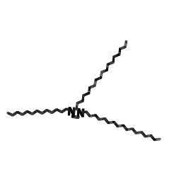 CCCCCCCCCCCCCCCCCC1N(CCCCCCCCCCCCC)C=CN1CCCCCCCCCCCCCCCCC